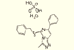 Cc1nnc2cc(-c3ccccc3)nc(SCc3ccccc3)n12.O.O=S(=O)(O)O